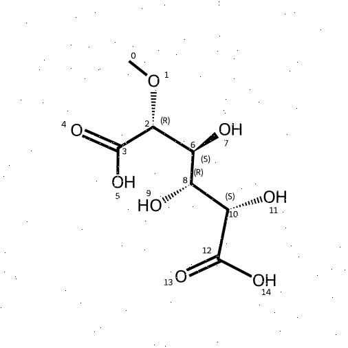 CO[C@@H](C(=O)O)[C@@H](O)[C@@H](O)[C@H](O)C(=O)O